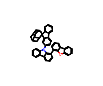 c1ccc2c(c1)-c1ccc(-n3c4ccccc4c4cccc(-c5cccc6c5oc5ccccc56)c43)cc1C21C2CC3CC(C2)CC1C3